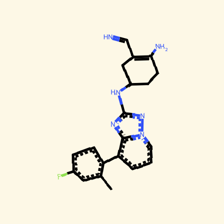 Cc1cc(F)ccc1-c1cccn2nc(NC3CCC(N)=C(C=N)C3)nc12